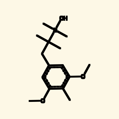 COc1cc(CC(C)(C)[Si](C)(C)O)cc(OC)c1C